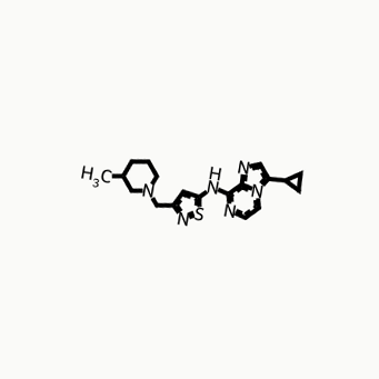 CC1CCCN(Cc2cc(Nc3nccn4c(C5CC5)cnc34)sn2)C1